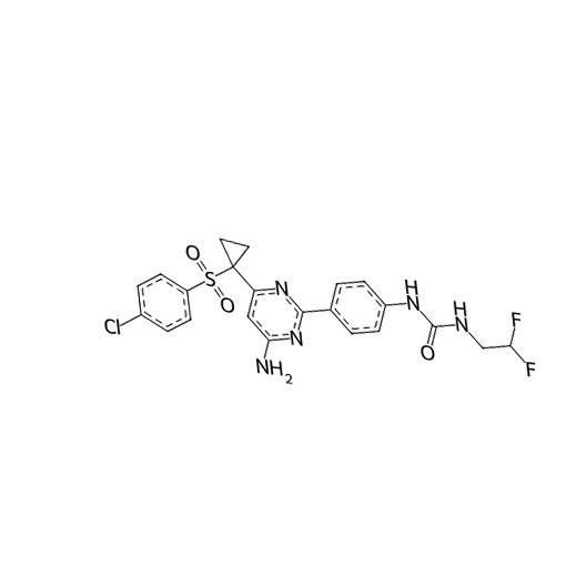 Nc1cc(C2(S(=O)(=O)c3ccc(Cl)cc3)CC2)nc(-c2ccc(NC(=O)NCC(F)F)cc2)n1